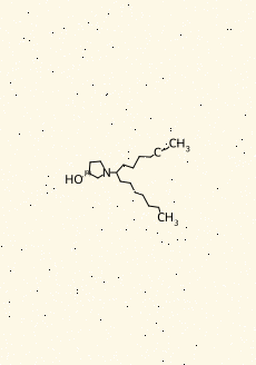 CCCCCCCC(CCCCCCC)N1CC[C@@H](O)C1